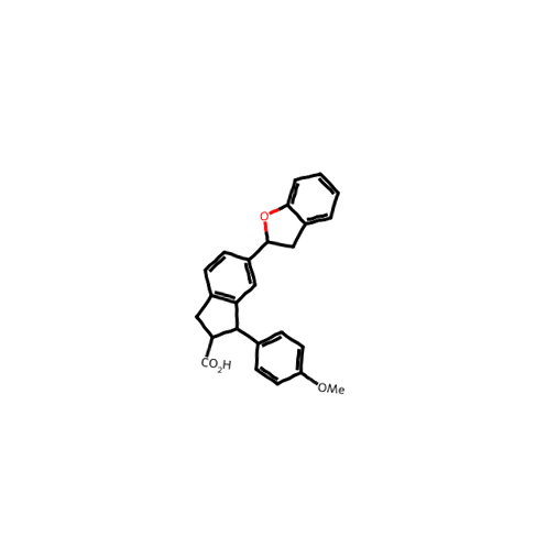 COc1ccc(C2c3cc(C4Cc5ccccc5O4)ccc3CC2C(=O)O)cc1